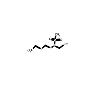 CS(=O)(=O)N(CC#N)SCSCC(Cl)(Cl)Cl